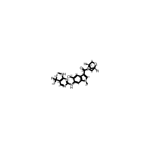 CNc1nc(Nc2cc3c(cc2Cl)c(C(=O)N2C[C@@H]4C[C@H]2CO4)cn3C)ncc1C(F)(F)F